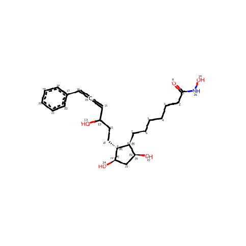 O=C(CCCCCC[C@@H]1[C@@H](CCC(O)C=C=Cc2ccccc2)[C@H](O)C[C@@H]1O)NO